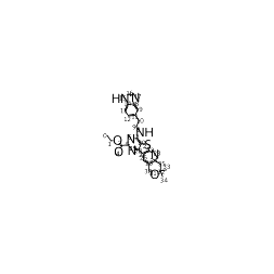 CCOC(=O)c1nc(NCCc2ccc3[nH]cnc3c2)c2sc3nc4c(cc3c2n1)COC(C)(C)C4